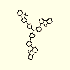 CC1(C)c2ccccc2-c2ccc(-c3ccc(C(c4ccc(-c5cccc(-c6cccc7c6oc6ccccc67)c5)cc4)c4cccc(-c5cccc6c5oc5ccccc56)c4)cc3)cc21